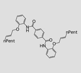 CCCCCC=CCOc1ccccc1NC(=O)c1ccc(C(=O)Nc2ccccc2OCC=CCCCCC)cc1